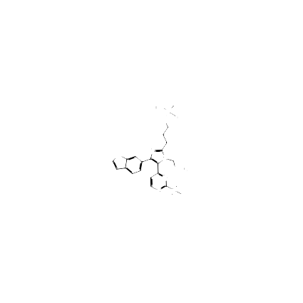 COCn1c(CCCO[Si](C(C)C)(C(C)C)C(C)C)nc(-c2ccc3ccoc3c2)c1-c1ccnc(S(C)(=O)=O)n1